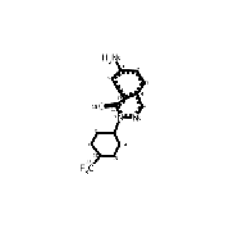 Nc1ccc2cnn(C3CCC(C(F)(F)F)CC3)c(=O)c2c1